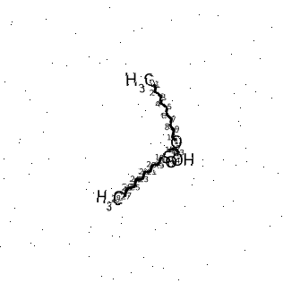 CCCCCCCCCCCOC(CO)C[S+]([O-])CCCCCCCCCCC